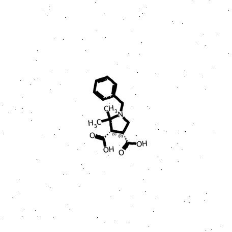 CC1(C)[C@@H](C(=O)O)[C@@H](C(=O)O)CN1Cc1ccccc1